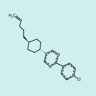 C=CCCC[C@H]1CC[C@H](c2cnc(-c3ccc(Cl)cc3)nc2)CC1